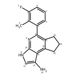 Cc1c(F)cccc1-c1nc2[nH]nc(N)c2c2c1CCC2